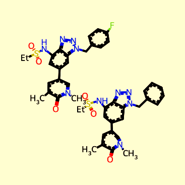 CCS(=O)(=O)Nc1cc(-c2cc(C)c(=O)n(C)c2)cc2c1nnn2Cc1ccc(F)cc1.CCS(=O)(=O)Nc1cc(-c2cc(C)c(=O)n(C)c2)cc2c1nnn2Cc1ccccc1